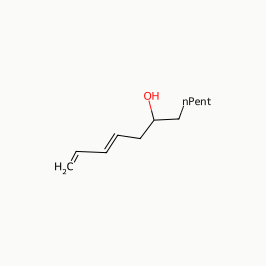 C=CC=CCC(O)CCCCCC